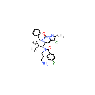 Cc1nn2c(=O)n(Cc3ccccc3)c(C(C(C)C)N(CCCN)C(=O)c3ccc(Cl)cc3)cc2c1Cl